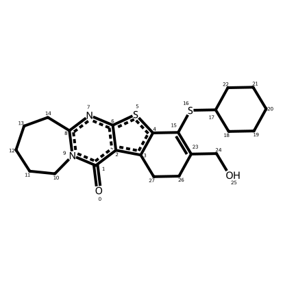 O=c1c2c3c(sc2nc2n1CCCCC2)C(SC1CCCCC1)=C(CO)CC3